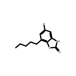 CCCCCc1cc(Cl)cc2[nH]c(=O)oc12